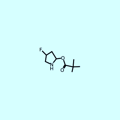 CC(C)(C)C(=O)OC1CC(F)CN1